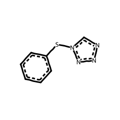 c1ccc(Sn2cnnn2)cc1